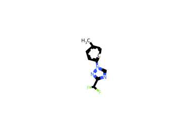 Cc1ccc(-n2cnc(C(F)F)n2)cc1